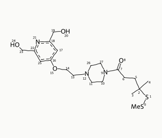 CSSC(C)(C)CCC(=O)N1CCN(CCOc2cc(CO)nc(CO)c2)CC1